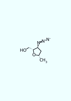 C[C@H]1C[C@H](N=[N+]=[N-])[C@@H](CO)O1